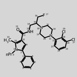 CCCn1c(-c2ccccc2)cc(C(=O)NCC(CF)N2CCN(c3cccc(Cl)c3Cl)CC2)c1C